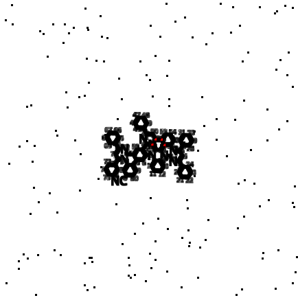 N#Cc1ccc(-c2cc(N3c4ccccc4N(c4nc(-c5ccccc5)cc(-c5ccccc5)n4)c4ccccc43)c(-c3nc(-c4ccccc4)cc(-c4ccccc4)n3)cc2-c2nc(-c3ccccc3)cc(-c3ccccc3)n2)cc1